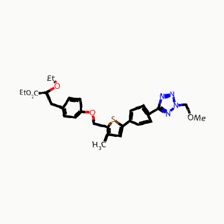 CCOC(=O)C(Cc1ccc(OCc2sc(-c3ccc(-c4nnn(COC)n4)cc3)cc2C)cc1)OCC